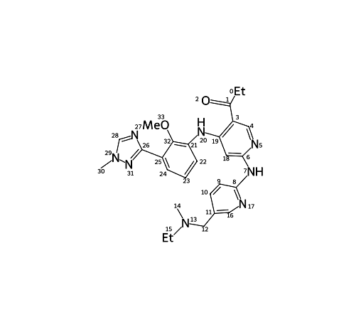 CCC(=O)c1cnc(Nc2ccc(CN(C)CC)cn2)cc1Nc1cccc(-c2ncn(C)n2)c1OC